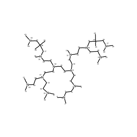 CN(C)CCN(C)CCN(CCN(C)CCN(CCN(C)C)CC(C)(C)CN(C)C)CCN(CCN(C)CC(C)(C)CN(C)C)CCN(CCN(C)C)CCN(C)C